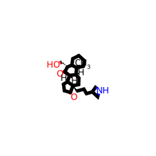 C[C@]12CCCCC1[C@@H](CO)C(=O)[C@H]1[C@@H]3CCC(=O)[C@@]3(CCCC3CNC3)CC[C@@H]12